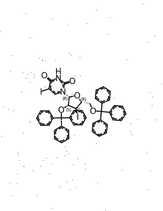 O=c1[nH]c(=O)n([C@@H]2O[C@H](COC(c3ccccc3)(c3ccccc3)c3ccccc3)[C@@H](I)[C@H]2OC(c2ccccc2)(c2ccccc2)c2ccccc2)cc1I